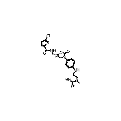 CCC(=N)N(C)CCNc1ccc(N2C[C@H](CNC(=O)c3ccc(Cl)s3)OC2=O)cc1